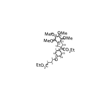 CCOC(=O)CCCOc1ccc(C2(C(=O)OCC)Cc3c(c(OC)c(OC)c(OC)c3OC)C2)cc1